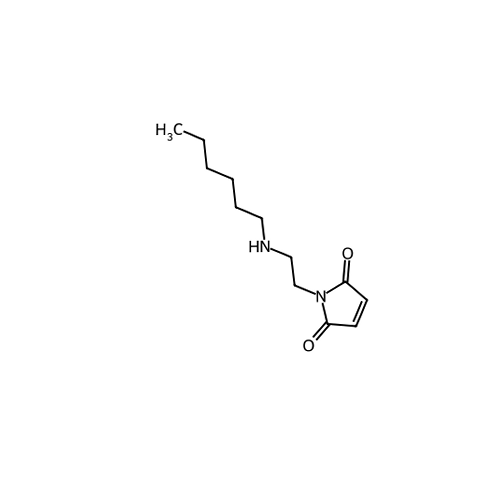 CCCCCCNCCN1C(=O)C=CC1=O